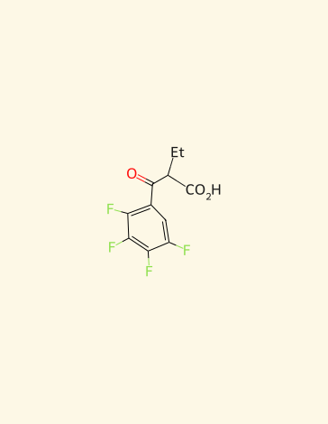 CCC(C(=O)O)C(=O)c1cc(F)c(F)c(F)c1F